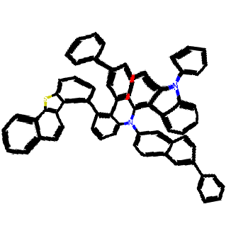 c1ccc(-c2cccc(-c3c(-c4cccc5sc6c7ccccc7ccc6c45)cccc3N(c3ccc4cc(-c5ccccc5)ccc4c3)c3cccc4c3c3ccccc3n4-c3ccccc3)c2)cc1